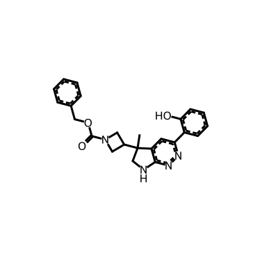 CC1(C2CN(C(=O)OCc3ccccc3)C2)CNc2nnc(-c3ccccc3O)cc21